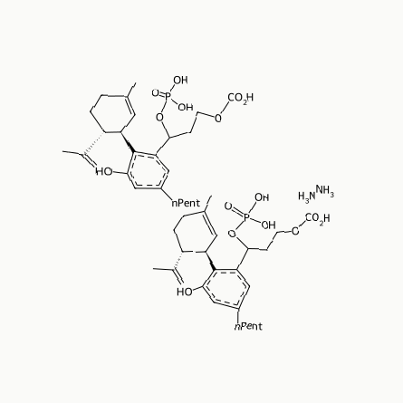 C=C(C)[C@@H]1CCC(C)=C[C@H]1c1c(O)cc(CCCCC)cc1C(CCOC(=O)O)OP(=O)(O)O.C=C(C)[C@@H]1CCC(C)=C[C@H]1c1c(O)cc(CCCCC)cc1C(CCOC(=O)O)OP(=O)(O)O.N.N